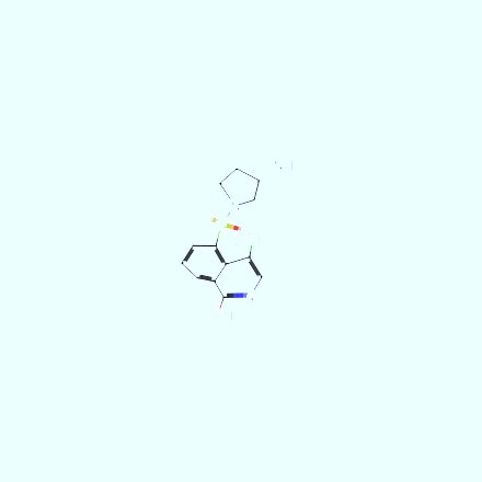 N[C@H]1CCN(S(=O)(=O)c2cccc3c(O)ncc(Cl)c23)C1